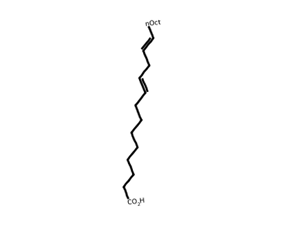 CCCCCCCCC=CCC=CCCCCCCCC(=O)O